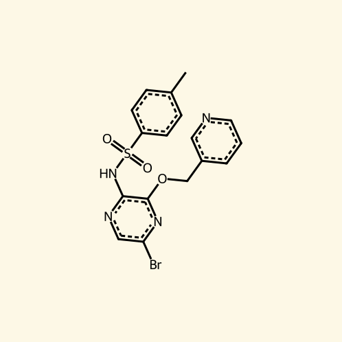 Cc1ccc(S(=O)(=O)Nc2ncc(Br)nc2OCc2cccnc2)cc1